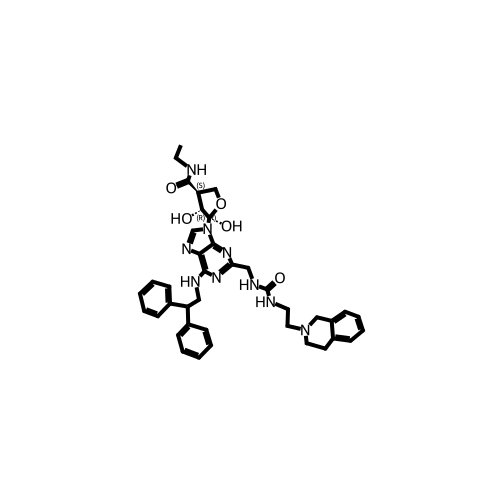 CCNC(=O)[C@H]1CO[C@@](O)(n2cnc3c(NCC(c4ccccc4)c4ccccc4)nc(CNC(=O)NCCN4CCc5ccccc5C4)nc32)[C@@H]1O